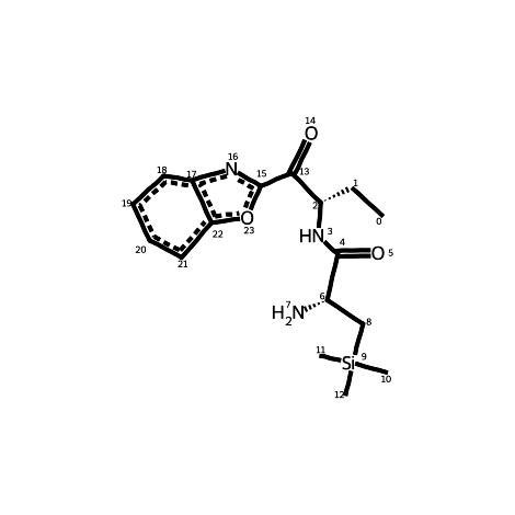 CC[C@H](NC(=O)[C@@H](N)C[Si](C)(C)C)C(=O)c1nc2ccccc2o1